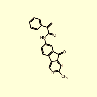 C=C(C(=O)Nc1ccc2c(c1)C(=O)c1nc(C(F)(F)F)ncc1-2)c1ccccc1